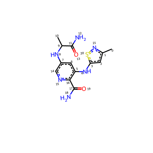 Cc1cc(Nc2cc(NC(C)C(N)=O)cnc2C(N)=O)sn1